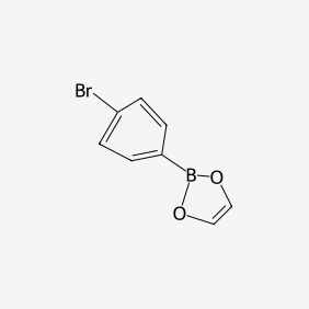 Brc1ccc(B2OC=CO2)cc1